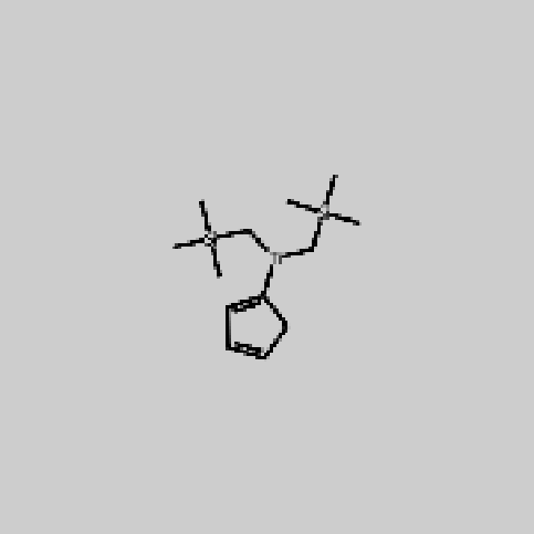 C[Si](C)(C)[CH2][Ti]([CH2][Si](C)(C)C)[C]1=CC=CC1